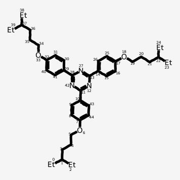 CCC(CC)CCCOc1ccc(-c2nc(-c3ccc(OCCCC(CC)CC)cc3)nc(-c3ccc(OCCCC(CC)CC)cc3)n2)cc1